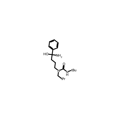 CC(C)CN(CCCC(N)(O)c1ccccc1)C(=O)NC(C)(C)C